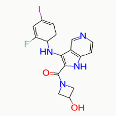 O=C(c1[nH]c2ccncc2c1NC1CC=C(I)C=C1F)N1CC(O)C1